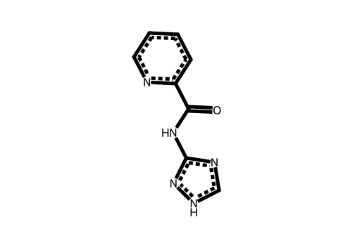 O=C(Nc1nc[nH]n1)c1ccccn1